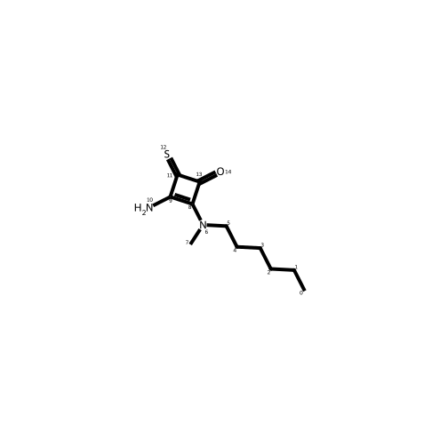 CCCCCCN(C)c1c(N)c(=S)c1=O